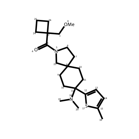 COCC1(C(=O)N2CCC3(CCC(c4ccc(C)s4)(N(C)C)CC3)C2)CCC1